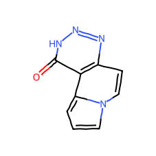 O=c1[nH]nnc2ccn3cccc3c12